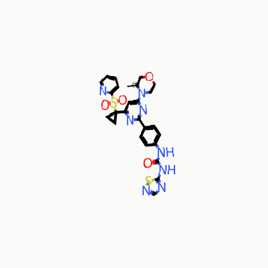 C[C@H]1COCCN1c1cc(C2(S(=O)(=O)c3ccccn3)CC2)nc(-c2ccc(NC(=O)Nc3ncns3)cc2)n1